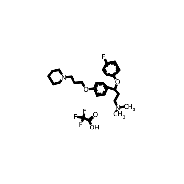 CN(C)CCC(Oc1ccc(F)cc1)c1ccc(OCCCN2CCCCC2)cc1.O=C(O)C(F)(F)F